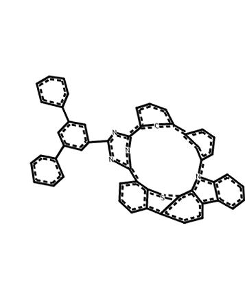 c1ccc(-c2cc(-c3ccccc3)cc(-c3nc4nc(n3)c3cccc5c6ccc7c8ccccc8n(c8cccc(c8)c8cccc4c8)c7c6sc35)c2)cc1